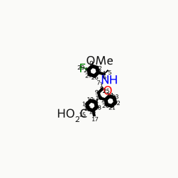 COc1cc([C@@H](C)NC[C@H]2C[C@@H](c3ccc(C(=O)O)c(C)c3)c3ccccc3O2)ccc1F